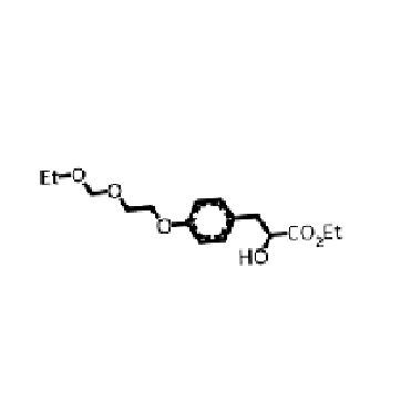 CCOCOCCOc1ccc(CC(O)C(=O)OCC)cc1